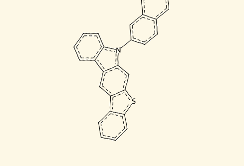 c1ccc2c(c1)sc1cc3c(cc12)c1ccccc1n3-c1ccc2cnccc2c1